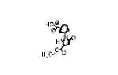 CCOC(=O)c1cc(=O)n(-c2cccc(S(=O)(=O)O)c2)[nH]1